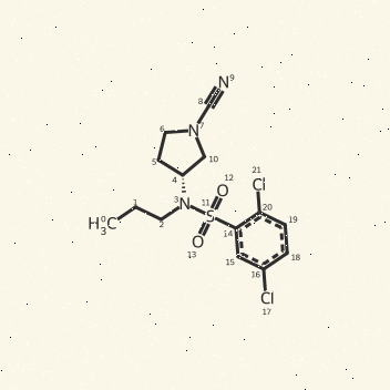 CCCN([C@@H]1CCN(C#N)C1)S(=O)(=O)c1cc(Cl)ccc1Cl